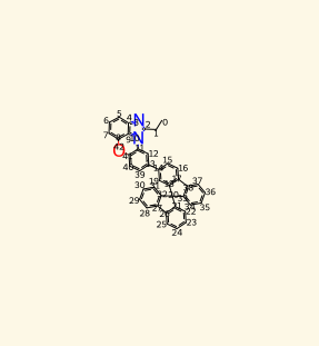 CCc1nc2cccc3c2n1-c1cc(-c2ccc4c(c2)C2(c5ccccc5-c5ccccc52)c2ccccc2-4)ccc1O3